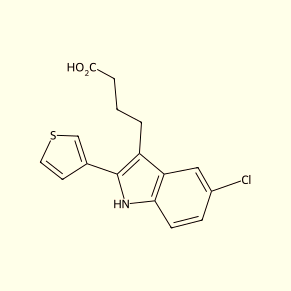 O=C(O)CCCc1c(-c2ccsc2)[nH]c2ccc(Cl)cc12